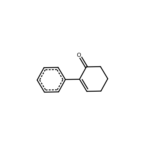 O=C1CCCC=C1c1ccccc1